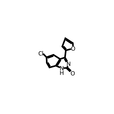 O=c1nc(-c2ccco2)c2cc(Cl)ccc2[nH]1